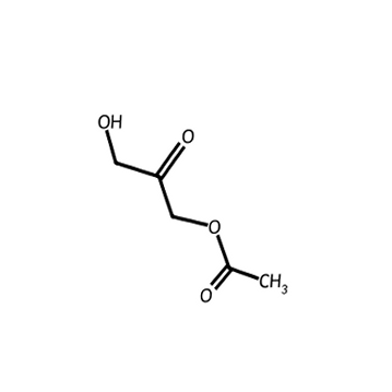 CC(=O)OCC(=O)CO